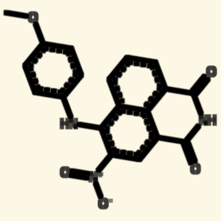 COc1ccc(Nc2c([N+](=O)[O-])cc3c4c(cccc24)C(=O)NC3=O)cc1